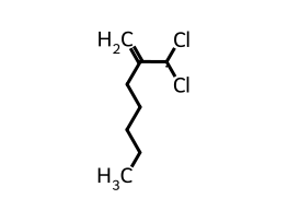 C=C(CCCCC)[C](Cl)Cl